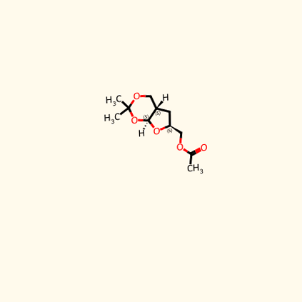 CC(=O)OC[C@@H]1C[C@H]2COC(C)(C)O[C@@H]2O1